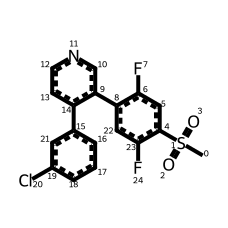 CS(=O)(=O)c1cc(F)c(-c2cnccc2-c2cccc(Cl)c2)cc1F